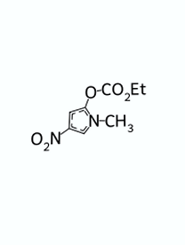 CCOC(=O)Oc1cc([N+](=O)[O-])cn1C